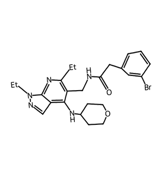 CCc1nc2c(cnn2CC)c(NC2CCOCC2)c1CNC(=O)Cc1cccc(Br)c1